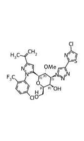 C=C(C)c1cc([C@@H]2O[C@H](CO)[C@H](O)[C@H](n3cc(-c4nc(Cl)cs4)nn3)[C@H]2OC)n(-c2cc(Cl)ccc2C(F)(F)F)n1